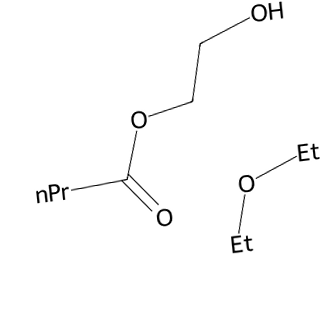 CCCC(=O)OCCO.CCOCC